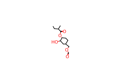 CCC(C)C(=O)OC1CCC(COC=O)CC1O